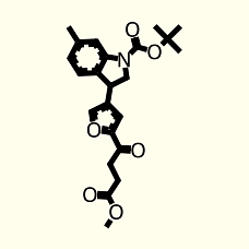 COC(=O)CCC(=O)c1cc(C2CN(C(=O)OC(C)(C)C)c3cc(C)ccc32)co1